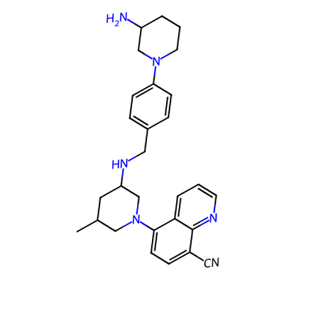 CC1CC(NCc2ccc(N3CCCC(N)C3)cc2)CN(c2ccc(C#N)c3ncccc23)C1